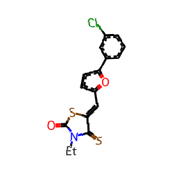 CCN1C(=O)S/C(=C\c2ccc(-c3cccc(Cl)c3)o2)C1=S